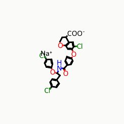 O=C(NC(Cc1ccc(Cl)cc1)Oc1ccc(Cl)cc1)c1ccc(Oc2cc3c(cc2Cl)C(C(=O)[O-])CCO3)cc1.[Na+]